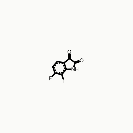 O=C1Nc2c(ccc(F)c2I)C1=O